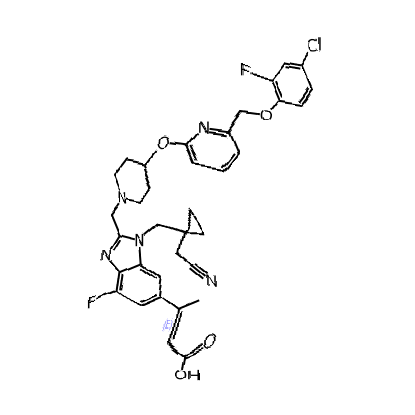 C/C(=C\C(=O)O)c1cc(F)c2nc(CN3CCC(Oc4cccc(COc5ccc(Cl)cc5F)n4)CC3)n(CC3(CC#N)CC3)c2c1